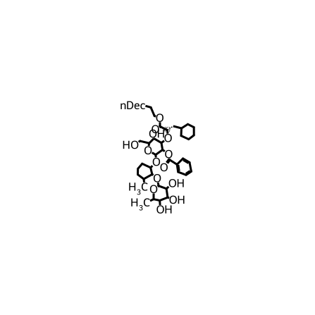 CCCCCCCCCCCCOC(=O)[C@H](CC1CCCCC1)OC1C(O)C(CO)OC(OC2CCCC(C)C2OC2OC(C)C(O)C(O)C2O)C1OC(=O)c1ccccc1